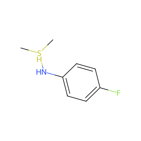 C[SH](C)Nc1ccc(F)cc1